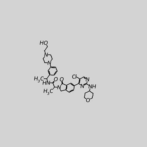 CC(NC(=O)C(C)N1Cc2ccc(-c3nc(NC4CCOCC4)ncc3Cl)cc2C1=O)c1cccc(N2CCN(CCO)CC2)c1